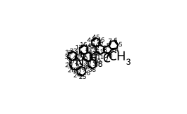 CC1(C)c2ccccc2-c2c1cc(-c1c3ccccc3c(N3C4=C(C=CCC4)C=Cc4ccccc43)c3ccccc13)c1ccccc21